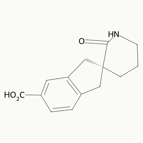 O=C(O)c1ccc2c(c1)C[C@]1(CCCNC1=O)C2